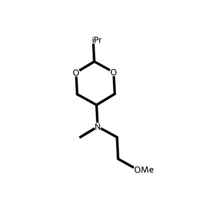 COCCN(C)C1COC(C(C)C)OC1